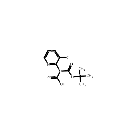 CC(C)(C)OC(=O)N(C(=O)O)c1ncccc1Cl